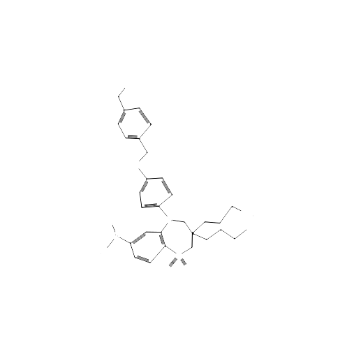 CCCCC1(CCCC)CN(c2ccc(OCc3ccc(CCl)cc3)cc2)c2cc(N(C)C)ccc2S(=O)(=O)C1